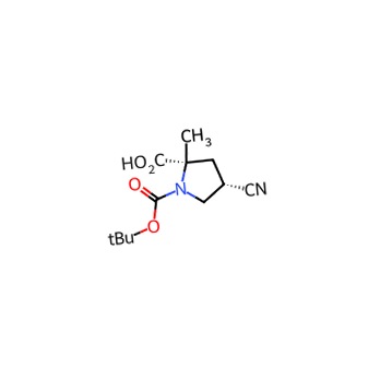 CC(C)(C)OC(=O)N1C[C@@H](C#N)C[C@@]1(C)C(=O)O